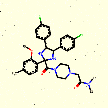 CCOc1cc(C(F)(F)F)ccc1C1(C(=O)N2CCN(CC(=O)N(CC)CC)CC2)NC(c2ccc(Cl)cc2)C(c2ccc(Cl)cc2)N1